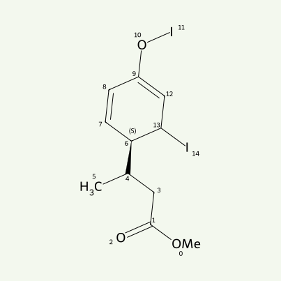 COC(=O)CC(C)[C@H]1C=CC(OI)=CC1I